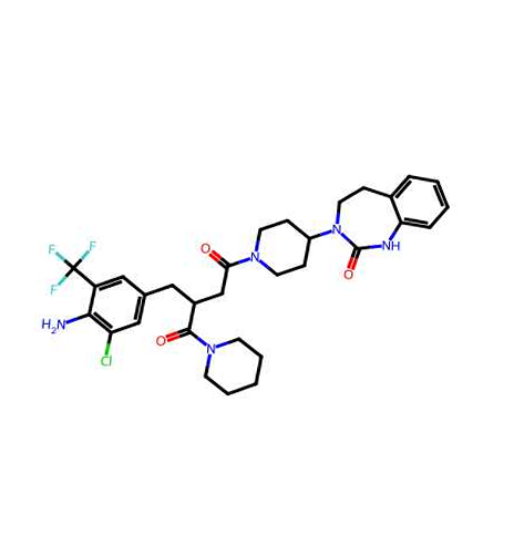 Nc1c(Cl)cc(CC(CC(=O)N2CCC(N3CCc4ccccc4NC3=O)CC2)C(=O)N2CCCCC2)cc1C(F)(F)F